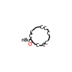 CCCCC1CCCCCCCCCCCCCCCCC1=O